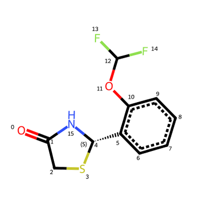 O=C1CS[C@@H](c2ccccc2OC(F)F)N1